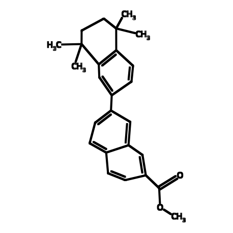 COC(=O)c1ccc2ccc(-c3ccc4c(c3)C(C)(C)CCC4(C)C)cc2c1